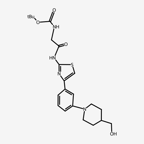 CC(C)(C)OC(=O)NCC(=O)Nc1nc(-c2cccc(N3CCC(CO)CC3)c2)cs1